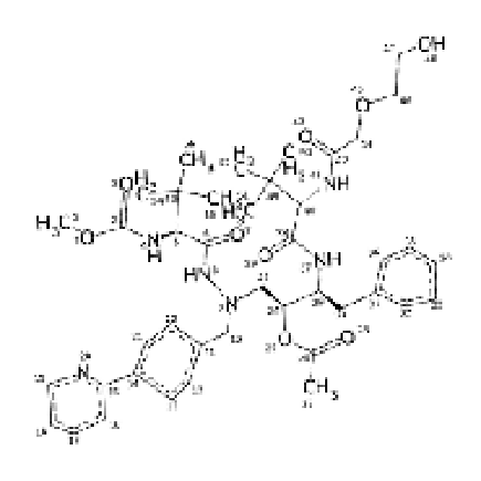 COC(=O)N[C@H](C(=O)NN(Cc1ccc(-c2ccccn2)cc1)C[C@H](OC(C)=O)[C@H](Cc1ccccc1)NC(=O)[C@@H](NC(=O)COCCO)C(C)(C)C)C(C)(C)C